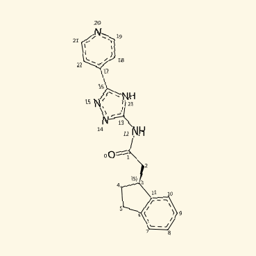 O=C(C[C@@H]1CCc2ccccc21)Nc1nnc(-c2ccncc2)[nH]1